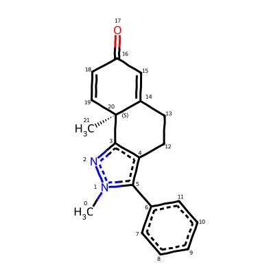 Cn1nc2c(c1-c1ccccc1)CCC1=CC(=O)C=C[C@@]12C